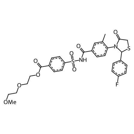 COCCOCCOC(=O)c1ccc(S(=O)(=O)NC(=O)c2ccc(N3C(=O)CSC3c3ccc(F)cc3)c(C)c2)cc1